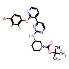 CC(C)(C)OC(=O)N1CCC[C@H](Nc2nccc(-c3cccnc3Oc3ccc(Br)c(F)c3F)n2)C1